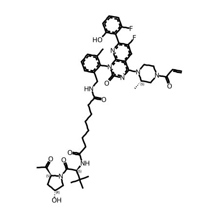 C=CC(=O)N1CCN(c2nc(=O)n(-c3c(C)cccc3CNC(=O)CCCCCCC(=O)N[C@H](C(=O)N3C[C@H](O)C[C@H]3C(C)=O)C(C)(C)C)c3nc(-c4c(O)cccc4F)c(F)cc23)[C@@H](C)C1